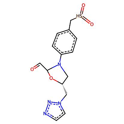 O=CC1O[C@@H](Cn2ccnn2)CN1c1ccc(C[SH](=O)=O)cc1